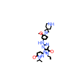 C=CCn1c(=O)c2cnc(Nc3ccc(N4CC5(CCNCC5)C4)c(OC)c3)nc2n1-c1ccc(=O)n(C(C)C)n1